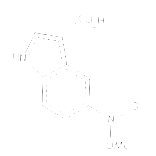 CO[N+](=O)c1ccc2[nH]cc(C(=O)O)c2c1